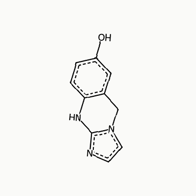 Oc1ccc2c(c1)Cn1ccnc1N2